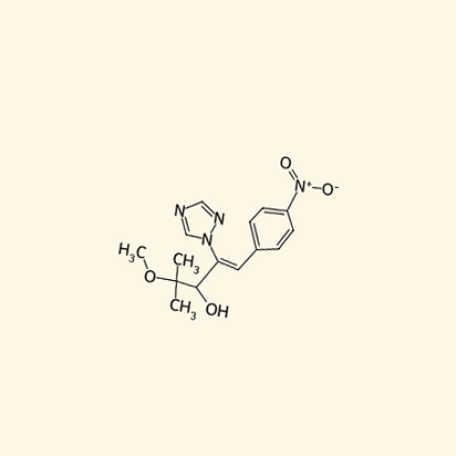 COC(C)(C)C(O)C(=Cc1ccc([N+](=O)[O-])cc1)n1cncn1